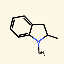 CC1Cc2ccccc2N1[SiH3]